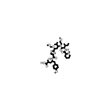 CCC(C)C(NC(=O)C1CCCCN1C)C(=O)N(CCOC)C(CC(OCOC)c1nc(C(=O)NC(Cc2ccc(OC)cc2)CC(C)C(=O)O)cs1)C(C)C